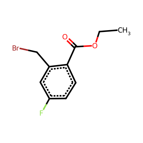 CCOC(=O)c1ccc(F)cc1CBr